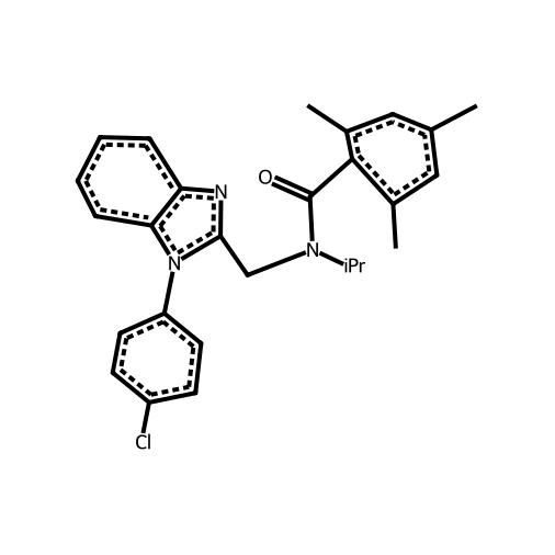 Cc1cc(C)c(C(=O)N(Cc2nc3ccccc3n2-c2ccc(Cl)cc2)C(C)C)c(C)c1